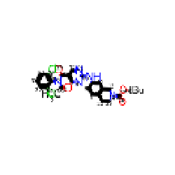 CC1Oc2nc(Nc3ccc4c(c3)CN(C(=O)OC(C)(C)C)CC4)ncc2C(=O)N1c1c(Cl)cccc1Cl